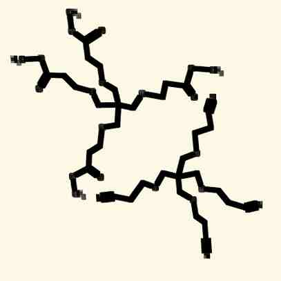 COC(=O)CCOCC(COCCC(=O)OC)(COCCC(=O)OC)COCCC(=O)OC.N#CCCOCC(COCCC#N)(COCCC#N)COCCC#N